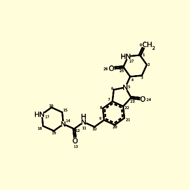 C=C1CCC(N2Cc3cc(CNC(=O)N4CCNCC4)ccc3C2=O)C(=O)N1